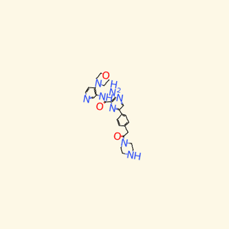 Nc1ncc(-c2ccc(CC(=O)N3CCNCC3)cc2)nc1C(=O)Nc1cnccc1N1CCOCC1